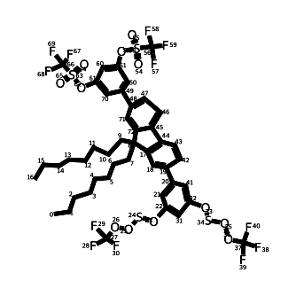 CCCCCCCCC1(CCCCCCCC)c2cc(-c3cc(OSOOC(F)(F)F)cc(OSOOC(F)(F)F)c3)ccc2-c2ccc(-c3cc(OS(=O)(=O)C(F)(F)F)cc(OS(=O)(=O)C(F)(F)F)c3)cc21